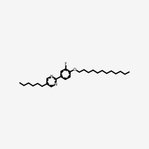 CCCCCCCCCCCCOc1ccc(-c2ncc(CCCCCC)cn2)cc1F